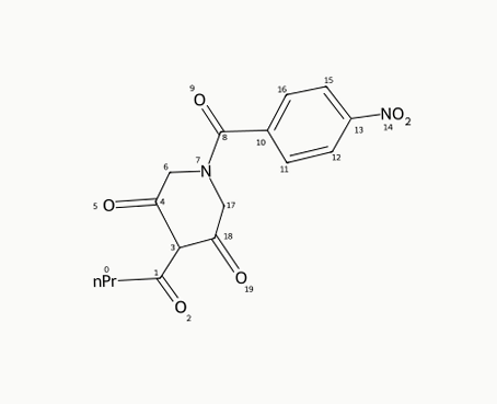 CCCC(=O)C1C(=O)CN(C(=O)c2ccc([N+](=O)[O-])cc2)CC1=O